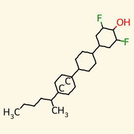 CCCCC(C)C12CCC(C3CCC(C4CC(F)C(O)C(F)C4)CC3)(CC1)CC2